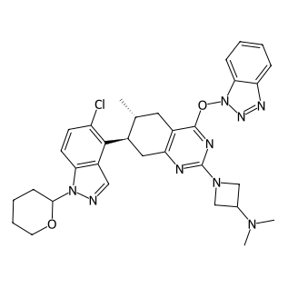 C[C@@H]1Cc2c(nc(N3CC(N(C)C)C3)nc2On2nnc3ccccc32)C[C@H]1c1c(Cl)ccc2c1cnn2C1CCCCO1